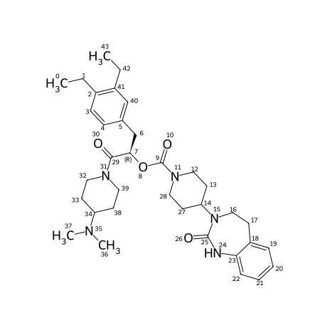 CCc1ccc(C[C@@H](OC(=O)N2CCC(N3CCc4ccccc4NC3=O)CC2)C(=O)N2CCC(N(C)C)CC2)cc1CC